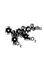 CC(C)(C)OC(=O)N1CCC(NC(=O)[C@@H]2CC[C@@H](N(OCc3ccccc3)S(=O)(=O)c3ccc([N+](=O)[O-])cc3)CN2S(=O)(=O)c2ccc([N+](=O)[O-])cc2)CC1